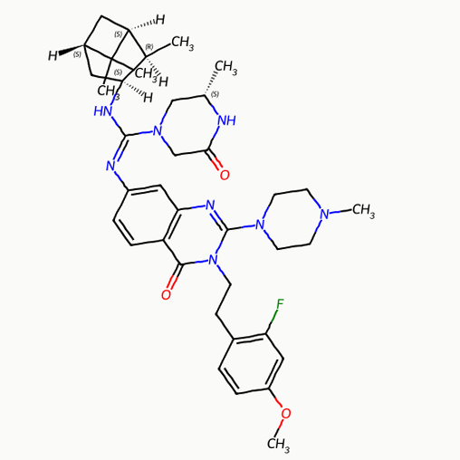 COc1ccc(CCn2c(N3CCN(C)CC3)nc3cc(N=C(N[C@H]4C[C@@H]5C[C@@H]([C@H]4C)C5(C)C)N4CC(=O)N[C@@H](C)C4)ccc3c2=O)c(F)c1